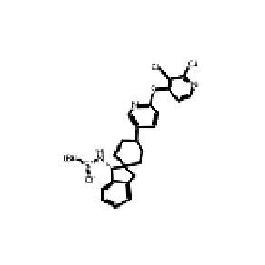 CC(C)(C)[S+]([O-])N[C@H]1c2ccccc2CC12CCC(c1ccc(Sc3ccnc(Cl)c3Cl)nc1)CC2